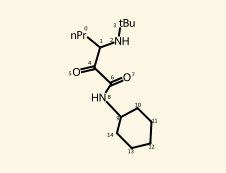 CCCC(NC(C)(C)C)C(=O)C(=O)NC1CCCCC1